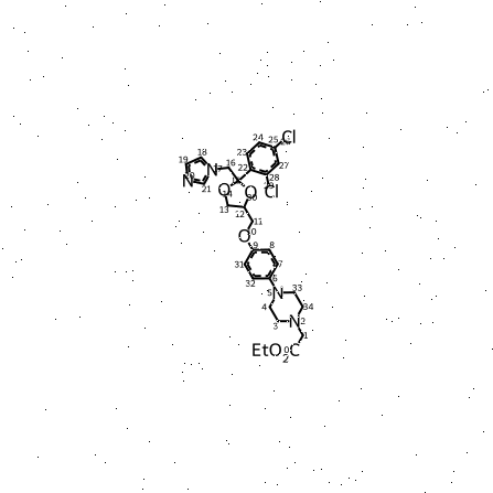 CCOC(=O)CN1CCN(c2ccc(OCC3COC(Cn4ccnc4)(c4ccc(Cl)cc4Cl)O3)cc2)CC1